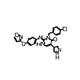 O=c1c(-c2cn[nH]c2)c[nH]/c(=N\c2ccc(Oc3ccon3)cc2)n1Cc1ccc(Cl)cc1